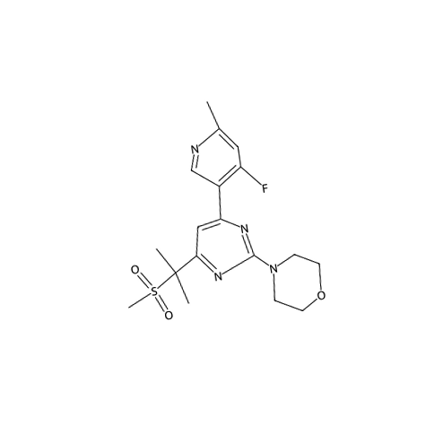 Cc1cc(F)c(-c2cc(C(C)(C)S(C)(=O)=O)nc(N3CCOCC3)n2)cn1